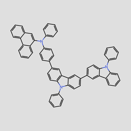 c1ccc(N(c2ccc(-c3ccc4c(c3)c3cc(-c5ccc6c(c5)c5ccccc5n6-c5ccccc5)ccc3n4-c3ccccc3)cc2)c2cc3ccccc3c3ccccc23)cc1